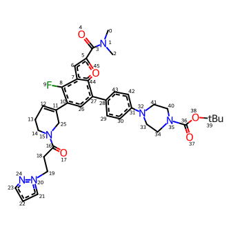 CN(C)C(=O)c1cc2c(F)c(C3=CCCN(C(=O)CCn4cccn4)C3)cc(-c3ccc(N4CCN(C(=O)OC(C)(C)C)CC4)cc3)c2o1